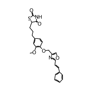 COc1cc(CCCC2SC(=O)NC2=O)ccc1OCc1coc(/C=C/c2ccccc2)n1